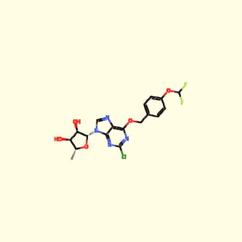 C[C@H]1O[C@@H](n2cnc3c(OCc4ccc(OC(F)F)cc4)nc(Cl)nc32)[C@H](O)[C@@H]1O